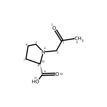 CC(=O)CN1CCC[C@H]1C(=O)O